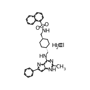 Cc1nc(NC[C@H]2CC[C@H](CNS(=O)(=O)c3cccc4ccccc34)CC2)c2nc(-c3ccccc3)cc-2[nH]1.Cl.O